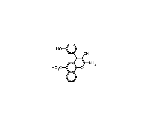 N#CC1=C(N)Oc2c(cc(C(=O)O)c3ccccc23)C1c1cccc(O)c1